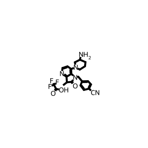 CC1C(=O)N(Cc2ccc(C#N)cc2)c2c(N3CCCC(N)C3)ccnc21.O=C(O)C(F)(F)F